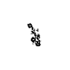 O=C(CCc1nnc(SCc2ccccc2F)n1-c1cccc(Cl)c1)NCCc1ccccc1